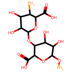 O=C(O)C1OC(OC2C(C(=O)O)OC(OP)C(O)C2O)C(O)C(O)C1P